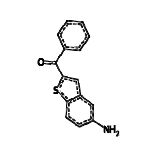 Nc1ccc2sc(C(=O)c3ccccc3)cc2c1